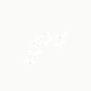 FC(F)(F)c1cccc(-c2cnc3cnn(Cc4cnccn4)c3c2)c1